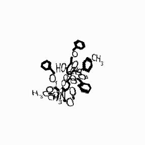 COC(=O)[C@@]1(OC2C(OC(=O)c3ccccc3)[C@H](Sc3ccc(C)cc3)OC(COCc3ccccc3)[C@@H]2O)CC2OCOCN[C@H]2C([C@@H]2OC(C)(C)O[C@@H]2COCc2ccccc2)O1